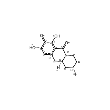 O=C1c2c(O)c(=O)c(O)cn2C[C@@H]2C[C@@H](F)CCN12